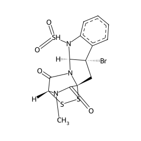 CN1C(=O)[C@]23C[C@]4(Br)c5ccccc5N([SH](=O)=O)[C@@H]4N2C(=O)[C@H]1SS3